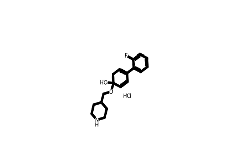 Cl.OC1(OCC2CCNCC2)C=CC(c2ccccc2F)=CC1